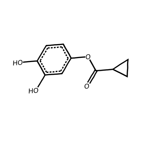 O=C(Oc1ccc(O)c(O)c1)C1CC1